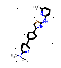 Cc1cccc(NC2NC(c3ccc(-c4ccc(N(C)C)nc4)cc3)CS2)n1